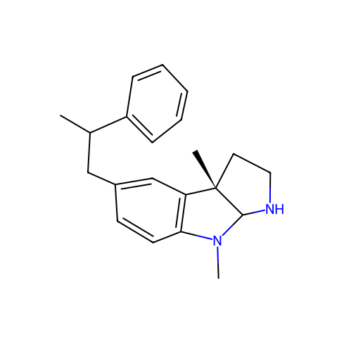 CC(Cc1ccc2c(c1)[C@]1(C)CCNC1N2C)c1ccccc1